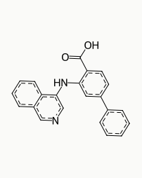 O=C(O)c1ccc(-c2ccccc2)cc1Nc1cncc2ccccc12